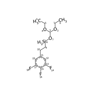 CCOC(OCC)O[SiH2]CCc1cc(F)c(F)c(F)c1